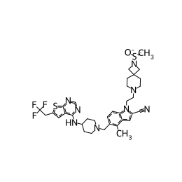 Cc1c(CN2CCC(Nc3ncnc4sc(CC(F)(F)F)cc34)CC2)ccc2c1cc(C#N)n2CCN1CCC2(CC1)CN([S+](C)[O-])C2